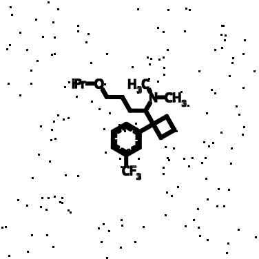 CC(C)OCCCC(N(C)C)C1(c2cccc(C(F)(F)F)c2)CCC1